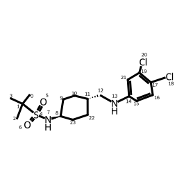 CC(C)(C)S(=O)(=O)N[C@H]1CC[C@H](CNc2ccc(Cl)c(Cl)c2)CC1